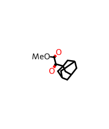 COC(=O)C(=O)C12CC3CC(CC(C3)C1)C2